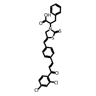 O=C(/C=C/c1ccc(C=C2CN(C(Cc3ccccc3)C(=O)O)C(=S)S2)cc1)c1ccc(Cl)cc1Cl